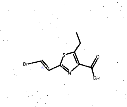 CCc1sc(/C=C/Br)nc1C(=O)O